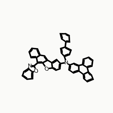 c1ccc(-c2ccc(N(c3ccc4oc5c(-c6nc7ccccc7o6)c6ccccc6cc5c4c3)c3ccc4c5ccccc5c5ccccc5c4c3)cc2)cc1